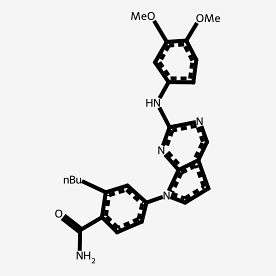 CCCCc1cc(-n2ccc3cnc(Nc4ccc(OC)c(OC)c4)nc32)ccc1C(N)=O